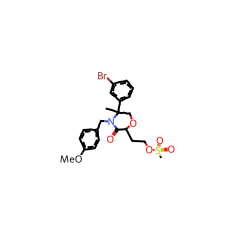 COc1ccc(CN2C(=O)C(CCOS(C)(=O)=O)OCC2(C)c2cccc(Br)c2)cc1